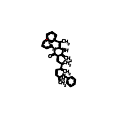 C=C(/C=C\C(=C)C(=C)/C=C1\C(=C)N/C(=C(\C)c2ccccc2)N(c2ccccc2)C1=O)Nc1ccccc1